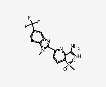 Cn1c(-c2ccc(S(C)(=O)=O)c(C(=N)N)n2)nc2cc(C(F)(F)F)ccc21